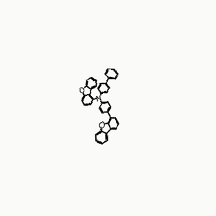 c1ccc(-c2ccc(N(c3ccc(-c4cccc5c4oc4ccccc45)cc3)c3cccc4oc5ccccc5c34)cc2)cc1